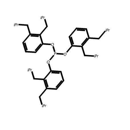 CC(C)Cc1cccc(OP(Oc2cccc(CC(C)C)c2CC(C)C)Oc2cccc(CC(C)C)c2CC(C)C)c1CC(C)C